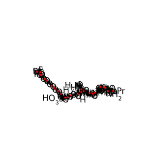 CCCN(CCC)C(=O)C1=Cc2ccc(-c3cccc(S(=O)(=O)N4CC(CNC(=O)OCc5ccc(NC(=O)[C@H](CCCNC(N)=O)NC(=O)CNC(=O)CCOCCOCCNC(=O)[C@H](CS(=O)(=O)O)NC(=O)CCOCCOCCOCCOCCOCCOCCC(=O)Oc6c(F)c(F)cc(F)c6F)cc5)C4)c3)cc2N=C(N)C1